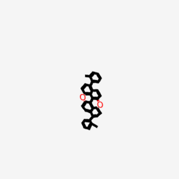 Cc1ccccc1-c1ccc2oc3ccc4c(-c5ccccc5C)ccc5oc6ccc1c2c6-c3c54